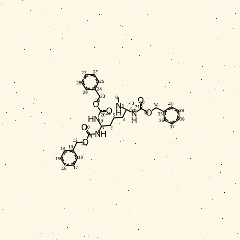 CN[C@](C)(CCCC(NC(=O)OCc1ccccc1)NC(=O)OCc1ccccc1)NC(=O)OCc1ccccc1